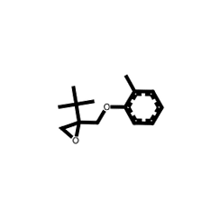 Cc1ccccc1OCC1(C(C)(C)C)CO1